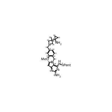 CCCCCNc1nc(N)nc2ccn(Cc3ccc(CN4CC(C)(C5(N)CC5)C4)cc3OC)c12